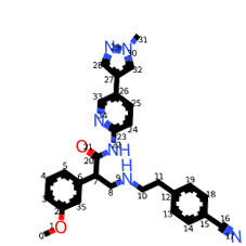 COc1cccc(C(CNCCc2ccc(C#N)cc2)C(=O)Nc2ccc(-c3cnn(C)c3)cn2)c1